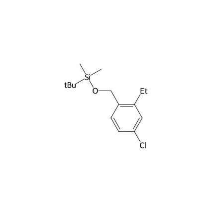 CCc1cc(Cl)ccc1CO[Si](C)(C)C(C)(C)C